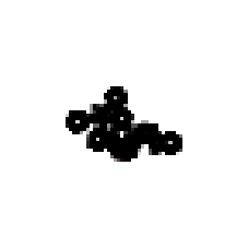 c1ccc(-c2nc(-c3ccccc3)n(-c3cccc4c5ccccc5n(-c5ccccc5-n5c6ccccc6c6c7sc8ccccc8c7ccc65)c34)n2)cc1